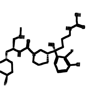 CNC[C@H](C[C@H]1CC[C@H](F)CC1)NC(=O)N1CCC[C@@H]([C@@](O)(CCCNC(=O)O)c2cccc(Cl)c2F)C1